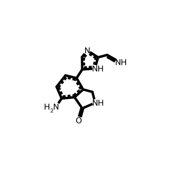 N=Cc1ncc(-c2ccc(N)c3c2CNC3=O)[nH]1